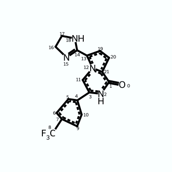 O=c1[nH]c(-c2ccc(C(F)(F)F)cc2)cn2c(C3=NCCN3)ccc12